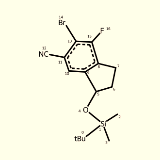 CC(C)(C)[Si](C)(C)OC1CCc2c1cc(C#N)c(Br)c2F